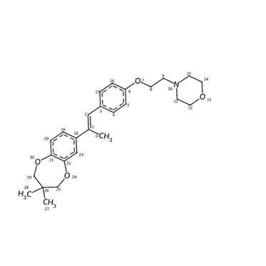 C/C(=C\c1ccc(OCCN2CCOCC2)cc1)c1ccc2c(c1)OCC(C)(C)CO2